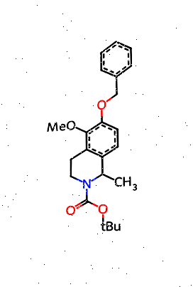 COc1c(OCc2ccccc2)ccc2c1CCN(C(=O)OC(C)(C)C)C2C